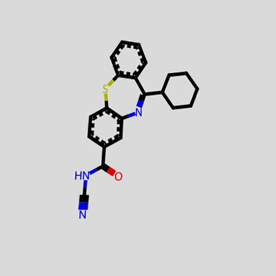 N#CNC(=O)c1ccc2c(c1)N=C(C1CCCCC1)c1ccccc1S2